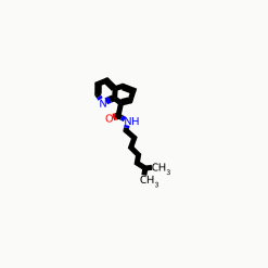 CC(C)CCCCCNC(=O)c1cccc2cccnc12